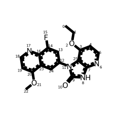 CCOc1ccnc2[nH]c(=O)n(-c3cc(F)c4nccc(OC)c4c3)c12